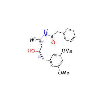 COc1cc(/C=C(O)\C=C(/C#N)NC(=O)Cc2ccccc2)cc(OC)c1